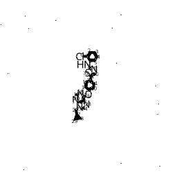 Clc1ccccc1Nc1ncc(-c2ccc(Oc3ncnc4c3ncn4CC3CC3)cc2)s1